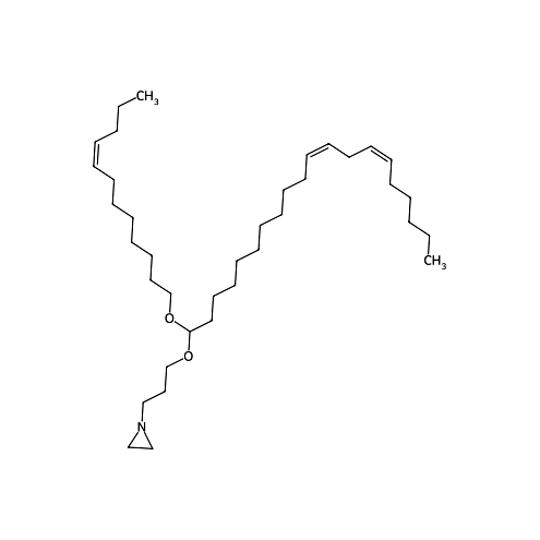 CCC/C=C\CCCCCCCOC(CCCCCCCCC/C=C\C/C=C\CCCCC)OCCCN1CC1